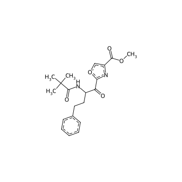 COC(=O)c1coc(C(=O)C(CCc2ccccc2)NC(=O)C(C)(C)C)n1